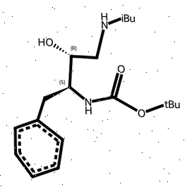 CCC(C)NC[C@@H](O)[C@H](Cc1ccccc1)NC(=O)OC(C)(C)C